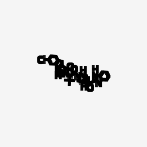 CC(C)(C)[C@H](NC(=O)c1cc2ccc(Cl)cc2[nH]1)C(=O)N1C[C@@H]2C[C@H]1CN2C(=O)c1nc2ccccc2[nH]1